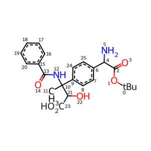 CC(C)(C)OC(=O)C(N)c1ccc(C(C)(NC(=O)c2ccccc2)C(O)C(=O)O)cc1